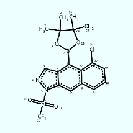 CC1(C)OB(c2c3cnn(S(=O)(=O)C(F)(F)F)c3cc3cccc(Cl)c23)OC1(C)C